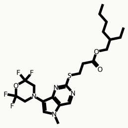 CCCCC(CC)COC(=O)CCSc1ncc2c(n1)c(N1CC(F)(F)OC(F)(F)C1)cn2C